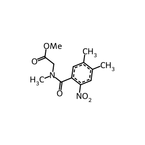 COC(=O)CN(C)C(=O)c1cc(C)c(C)cc1[N+](=O)[O-]